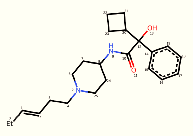 CC/C=C/CCN1CCC(NC(=O)C(O)(c2ccccc2)C2CCC2)CC1